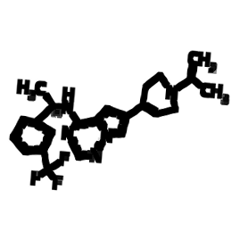 C=C(C)N1CC=C(c2cc3c(N[C@H](C)c4cccc(C(F)(F)F)c4)ncnn3c2)CC1